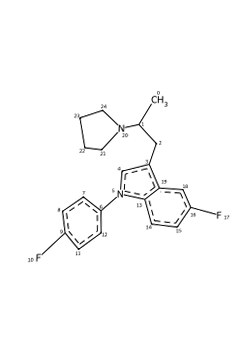 CC(Cc1cn(-c2ccc(F)cc2)c2ccc(F)cc12)N1CCCC1